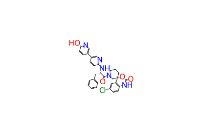 O=C1Nc2ccc(Cl)cc2[C@@]2(CCCN(C(=O)[C@H](Cc3ccccc3)Nc3ccc(-c4ccc(O)nc4)cn3)C2)O1